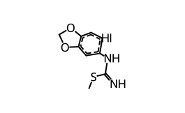 CSC(=N)Nc1ccc2c(c1)OCO2.I